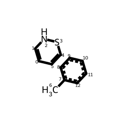 C1=CNSC=C1.Cc1ccccc1